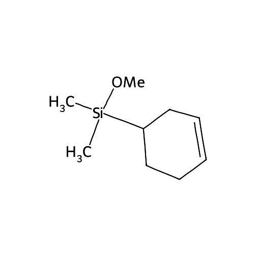 CO[Si](C)(C)C1CC=CCC1